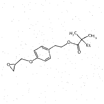 CCC(C)(C)C(=O)OCCc1ccc(OCC2CO2)cc1